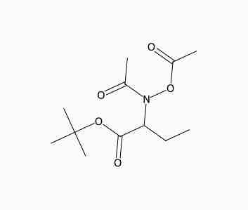 CCC(C(=O)OC(C)(C)C)N(OC(C)=O)C(C)=O